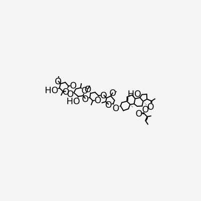 C/C=C(\C)C(=O)O[C@@H]1CC2C(CC=C3C[C@@H](OC4CC(OC)C(OC5C[C@@H](OC)C(OC6OC(C)C(OC7CC(OC)C(O)C(C)O7)C(OC)C6O)C(C)O5)C(C)O4)CC[C@@]32C)[C@@]2(O)CCC(C(C)=O)[C@@]12C